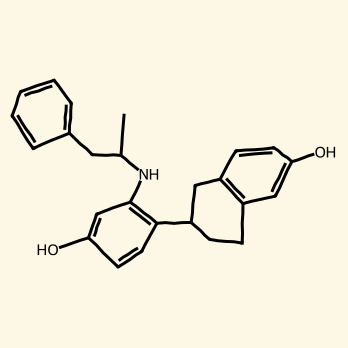 CC(Cc1ccccc1)Nc1cc(O)ccc1C1CCc2cc(O)ccc2C1